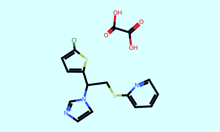 Clc1ccc(C(CSc2ccccn2)n2ccnc2)s1.O=C(O)C(=O)O